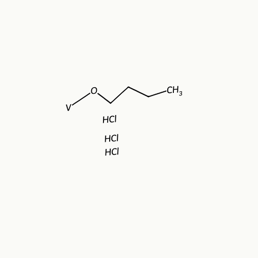 CCCC[O][V].Cl.Cl.Cl